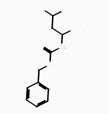 CCCCC(Br)CC(NC(=O)OCc1ccccc1)C(=O)O